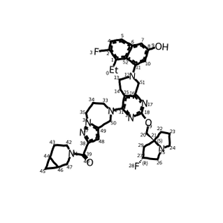 CCc1c(F)ccc2cc(O)cc(N3CCc4c(nc(OC[C@@]56CCCN5C[C@H](F)C6)nc4N4CCCn5nc(C(=O)N6CCC7CC7C6)cc5C4)C3)c12